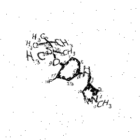 Cn1cc(Nc2ccc(O[Si](C)(C)C(C)(C)C)c(F)c2)cn1